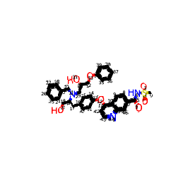 CS(=O)(=O)NC(=O)c1ccc2c(Oc3ccc(C[C@@H](CO)N(Cc4ccccc4)C[C@H](O)COc4ccccc4)cc3)ccnc2c1